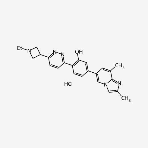 CCN1CC(c2ccc(-c3ccc(-c4cc(C)c5nc(C)cn5c4)cc3O)nn2)C1.Cl